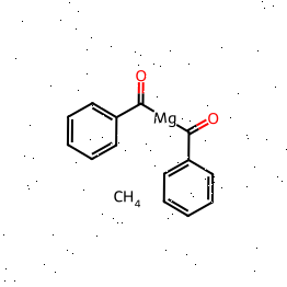 C.O=[C]([Mg][C](=O)c1ccccc1)c1ccccc1